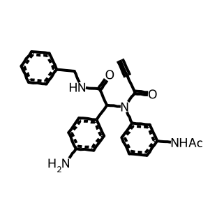 C#CC(=O)N(c1cccc(NC(C)=O)c1)C(C(=O)NCc1ccccc1)c1ccc(N)cc1